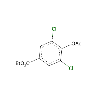 CCOC(=O)c1cc(Cl)c(OC(C)=O)c(Cl)c1